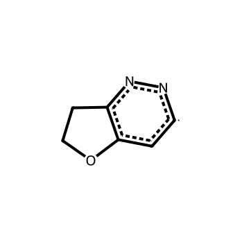 [c]1cc2c(nn1)CCO2